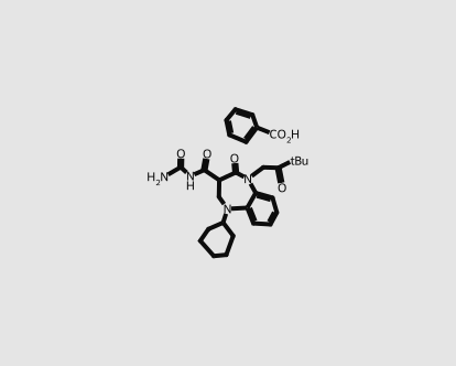 CC(C)(C)C(=O)CN1C(=O)C(C(=O)NC(N)=O)CN(C2CCCCC2)c2ccccc21.O=C(O)c1ccccc1